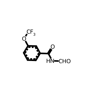 O=CNC(=O)c1cccc(OC(F)(F)F)c1